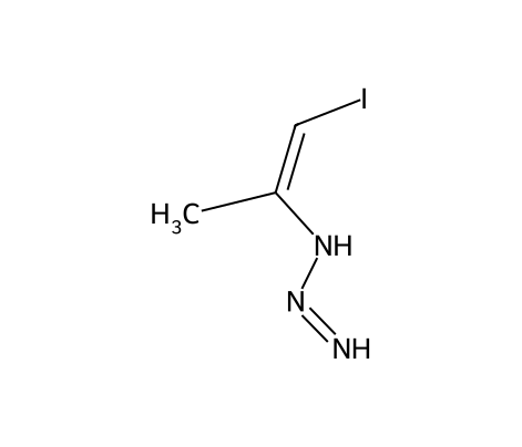 C/C(=C/I)NN=N